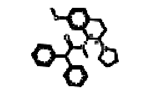 COc1ccc2c(c1)[C@@H](N(C)C(=O)C(c1ccccc1)c1ccccc1)[C@H](N1CCCC1)CC2